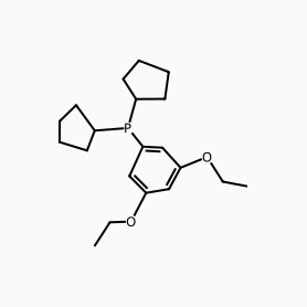 CCOc1cc(OCC)cc(P(C2CCCC2)C2CCCC2)c1